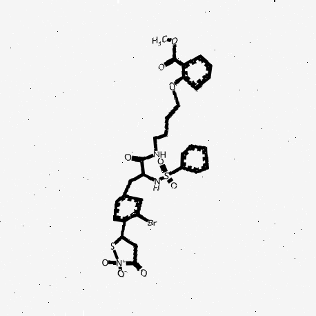 COC(=O)c1ccccc1OCCCCNC(=O)C(Cc1ccc(C2CC(=O)[N+]([O-])([O-])S2)c(Br)c1)NS(=O)(=O)c1ccccc1